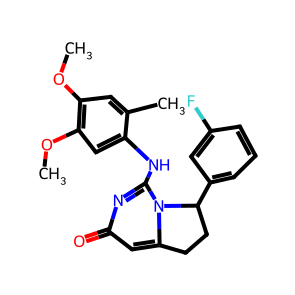 COc1cc(C)c(Nc2nc(=O)cc3n2C(c2cccc(F)c2)CC3)cc1OC